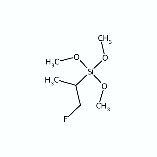 CO[Si](OC)(OC)C(C)CF